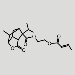 C/C=C/C(=O)OCCOC(=O)C1(C(C)C)C2CC3C(OC(=O)C31)C2C